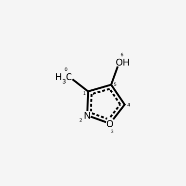 Cc1nocc1O